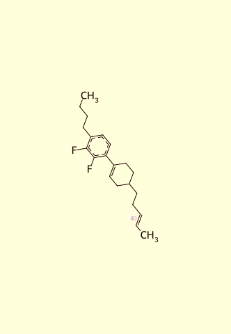 C/C=C/CCC1CC=C(c2ccc(CCCC)c(F)c2F)CC1